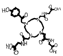 O=C(O)CNC(=O)CN1CCN(CC(=O)NCC(=O)O)CCN(CC(=O)c2ccc(O)cc2)CCN(CC(=O)NCC(=O)O)CC1